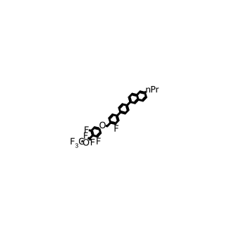 CCCc1ccc2cc(-c3ccc(-c4ccc(COc5cc(F)c(C(F)(F)OC(F)(F)F)c(F)c5)c(F)c4)cc3)ccc2c1